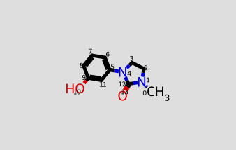 CN1CCN(c2cccc(O)c2)C1=O